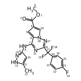 COC(=O)c1cc2c(Nc3cc(C)[nH]n3)nc(C(F)(F)c3ccc(F)cc3)nn2c1